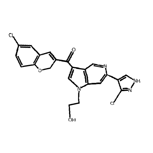 O=C(C1=Cc2cc(Cl)ccc2OC1)c1cn(CCO)c2cc(-c3c[nH]nc3Cl)ncc12